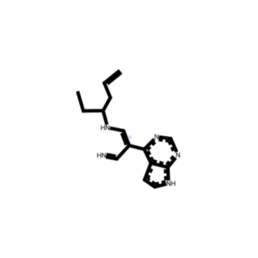 C=CCC(CC)N/C=C(\C=N)c1ncnc2[nH]ccc12